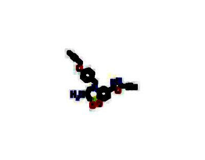 CC#CCOc1ccc(CN2C[C@@H](N)CS(=O)(=O)c3ccc(-c4nnc(C(C)(C)C)o4)cc32)cc1